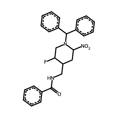 O=C(NCC1CC([N+](=O)[O-])N(C(c2ccccc2)c2ccccc2)CC1F)c1ccccc1